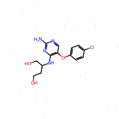 Nc1ncc(Oc2ccc(Cl)cc2)c(NC(CO)CCO)n1